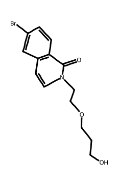 O=c1c2ccc(Br)cc2ccn1CCOCCCO